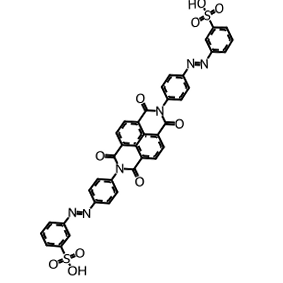 O=C1c2ccc3c4c(ccc(c24)C(=O)N1c1ccc(N=Nc2cccc(S(=O)(=O)O)c2)cc1)C(=O)N(c1ccc(N=Nc2cccc(S(=O)(=O)O)c2)cc1)C3=O